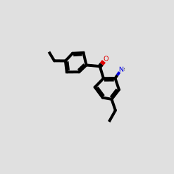 CCc1ccc(C(=O)c2ccc(CC)cc2[N])cc1